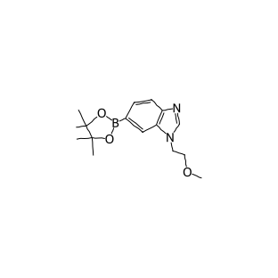 COCCn1cnc2ccc(B3OC(C)(C)C(C)(C)O3)cc21